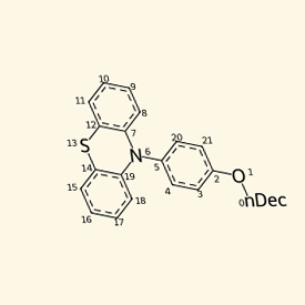 CCCCCCCCCCOc1ccc(N2c3ccccc3Sc3ccccc32)cc1